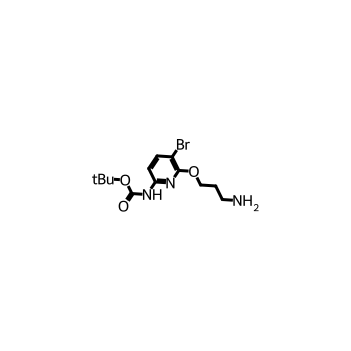 CC(C)(C)OC(=O)Nc1ccc(Br)c(OCCCN)n1